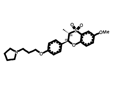 COc1ccc2c(c1)S(=O)(=O)[C@@H](C)[C@H](c1ccc(OCCCN3CCCC3)cc1)O2